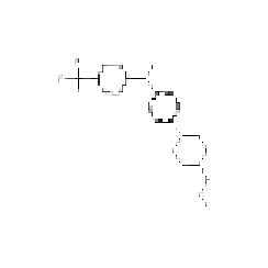 CCC[C@H]1CC[C@H](c2ccc(C(C)c3ccc(C(F)(F)F)cc3)cc2)CC1